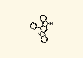 c1ccc(-c2c3nc4ccccn4c3cc3[nH]c4ccccc4c23)cc1